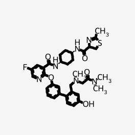 CC1=NC(C(=O)N[C@H]2CC[C@@H](NC(=O)c3cc(F)cnc3Oc3cccc(-c4ccc(O)cc4CN(C)CC(=O)N(C)C)c3)CC2)CS1